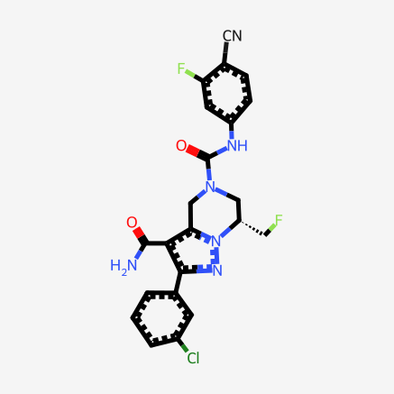 N#Cc1ccc(NC(=O)N2Cc3c(C(N)=O)c(-c4cccc(Cl)c4)nn3[C@@H](CF)C2)cc1F